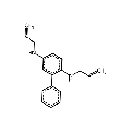 C=CCNc1ccc(NCC=C)c(-c2ccccc2)c1